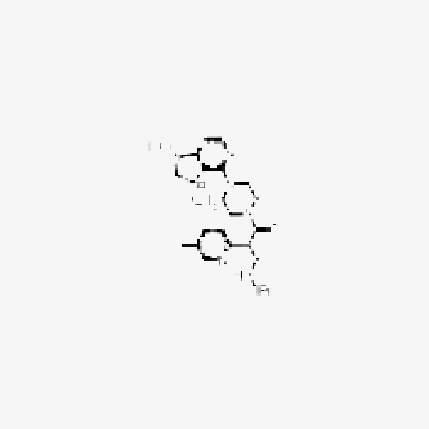 CC(C)NCC(C(=O)N1CCN(c2ncnc3c2[C@H](C)C[C@H]3O)CC1)c1ccc(Br)cn1